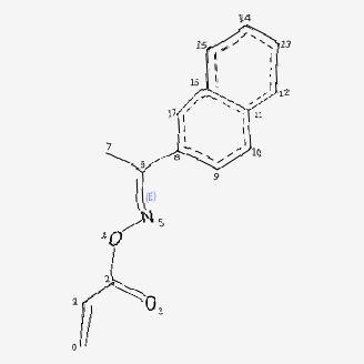 C=CC(=O)O/N=C(\C)c1ccc2ccccc2c1